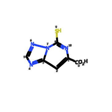 O=C(O)c1cc2ncnn2c(S)n1